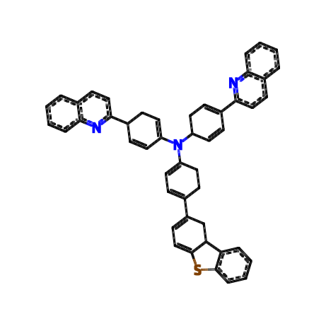 C1=CC(N(C2=CCC(c3ccc4ccccc4n3)C=C2)C2=CC=C(C3=CC=C4Sc5ccccc5C4C3)CC2)CC=C1c1ccc2ccccc2n1